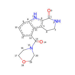 O=C1NCCc2c1[nH]c1cccc(C(=O)N3CCOCC3)c21